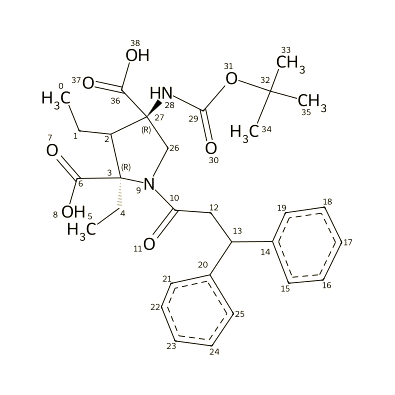 CCC1[C@](CC)(C(=O)O)N(C(=O)CC(c2ccccc2)c2ccccc2)C[C@@]1(NC(=O)OC(C)(C)C)C(=O)O